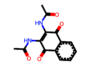 CC(=O)NC1=C(NC(C)=O)C(=O)c2ccccc2C1=O